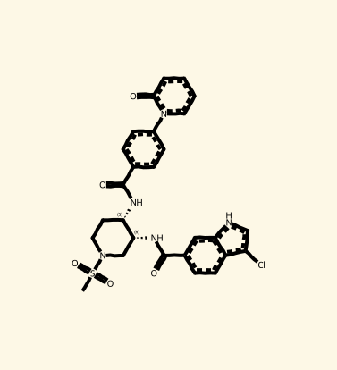 CS(=O)(=O)N1CC[C@H](NC(=O)c2ccc(-n3ccccc3=O)cc2)[C@H](NC(=O)c2ccc3c(Cl)c[nH]c3c2)C1